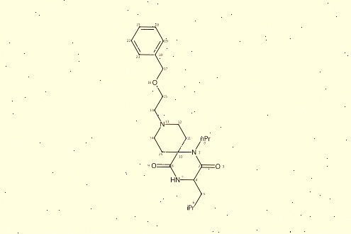 CCCN1C(=O)C(CC(C)C)NC(=O)C12CCN(CCOCc1ccccc1)CC2